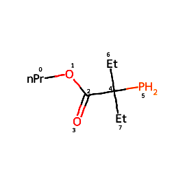 CCCOC(=O)C(P)(CC)CC